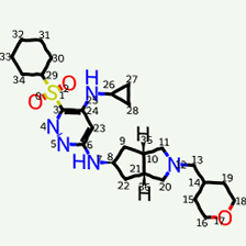 O=S(=O)(c1nnc(N[C@H]2C[C@@H]3CN(CC4CCOCC4)C[C@@H]3C2)cc1NC1CC1)C1CCCCC1